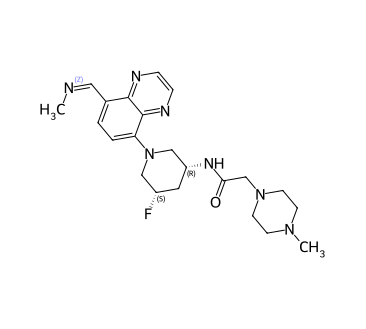 C/N=C\c1ccc(N2C[C@@H](F)C[C@@H](NC(=O)CN3CCN(C)CC3)C2)c2nccnc12